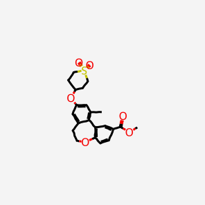 COC(=O)c1ccc2c(c1)-c1c(C)cc(OC3CCS(=O)(=O)CC3)cc1CCO2